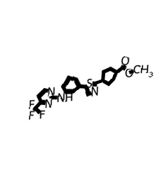 COC(=O)C1CCC(c2ncc(-c3cccc(Nc4nccc(C(F)(F)F)n4)c3)s2)CC1